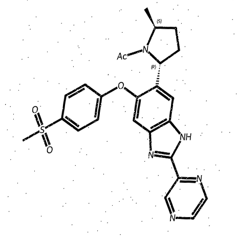 CC(=O)N1[C@@H](c2cc3[nH]c(-c4cnccn4)nc3cc2Oc2ccc(S(C)(=O)=O)cc2)CC[C@@H]1C